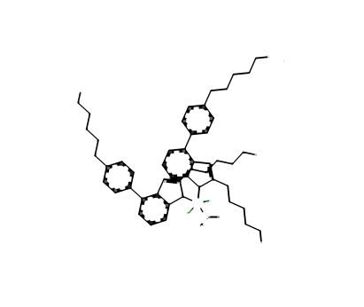 CCCCCCC1=Cc2c(-c3ccc(CCCCCC)cc3)cccc2[CH]1[Zr]([Cl])([Cl])([CH]1C(CCCCCC)=Cc2c(-c3ccc(CCCCCC)cc3)cccc21)[SiH](C)C